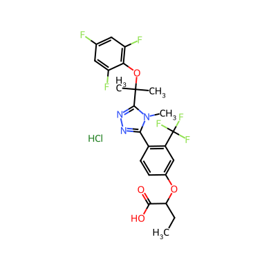 CCC(Oc1ccc(-c2nnc(C(C)(C)Oc3c(F)cc(F)cc3F)n2C)c(C(F)(F)F)c1)C(=O)O.Cl